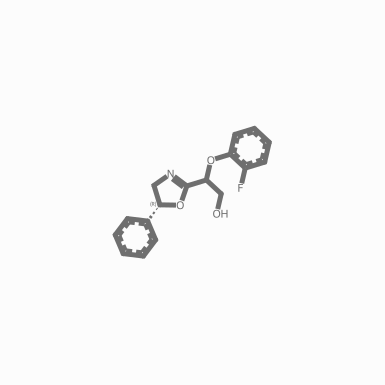 OCC(Oc1ccccc1F)C1=NC[C@@H](c2ccccc2)O1